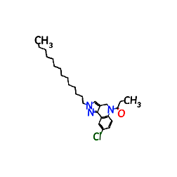 CCCCCCCCCCCCCCn1cc2c(n1)-c1cc(Cl)ccc1N(C(=O)CC)C2